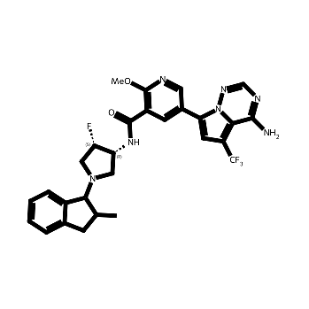 COc1ncc(-c2cc(C(F)(F)F)c3c(N)ncnn23)cc1C(=O)N[C@@H]1CN(C2c3ccccc3CC2C)C[C@@H]1F